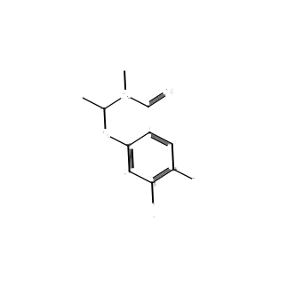 CC(Nc1ccc(F)c(Cl)c1)N(C)C=N